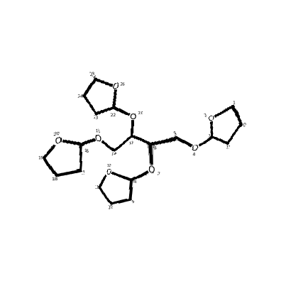 C1COC(OCC(OC2CCCO2)C(COC2CCCO2)OC2CCCO2)C1